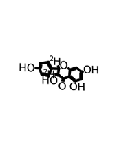 [2H]C1(O)C(=O)c2c(O)cc(O)cc2OC1([2H])c1ccc(O)cc1